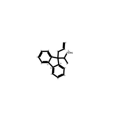 C=CCC1(C(C)CCCCCCCCCC)c2ccccc2-c2ccccc21